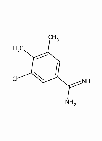 [CH2]c1c(C)cc(C(=N)N)cc1Cl